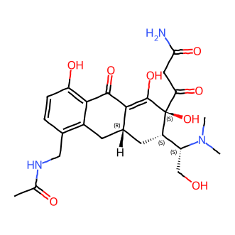 CC(=O)NCc1ccc(O)c2c1C[C@H]1C[C@@H]([C@@H](CO)N(C)C)[C@@](O)(C(=O)CC(N)=O)C(O)=C1C2=O